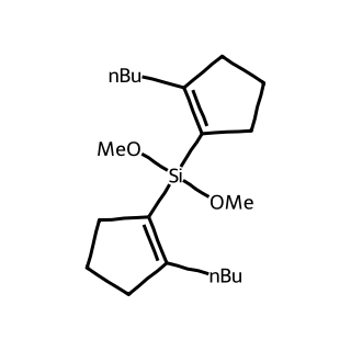 CCCCC1=C([Si](OC)(OC)C2=C(CCCC)CCC2)CCC1